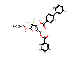 O=C(OC[C@H]1OC(OCS(=O)(=O)O)C(F)(F)[C@@H]1OC(=O)c1ccc(-c2ccccc2)cc1)c1ccccc1